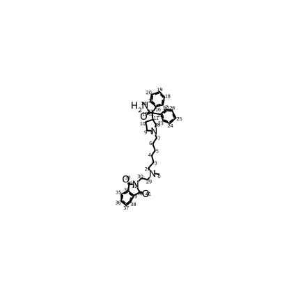 CN(CCCCCCN1CCC(C(C(N)=O)(c2ccccc2)c2ccccc2)C1)CCN1C(=O)c2ccccc2C1=O